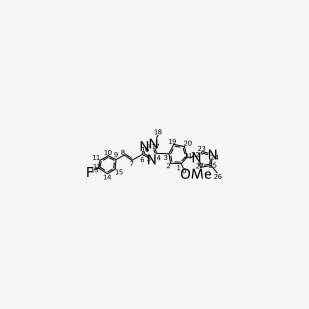 COc1cc(-c2nc(C=Cc3ccc(F)cc3)nn2C)ccc1-n1cnc(C)c1